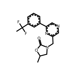 CC1CN(Cc2cncc(-c3cccc(C(C)(F)F)c3)n2)C(=O)O1